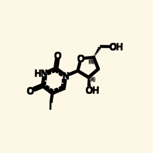 O=c1[nH]c(=O)n(C2O[C@H](CO)C[C@H]2O)cc1I